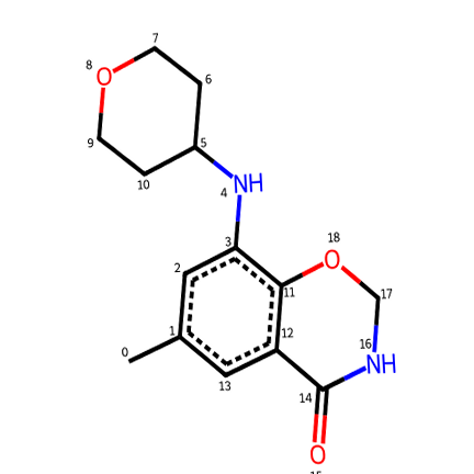 Cc1cc(NC2CCOCC2)c2c(c1)C(=O)NCO2